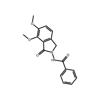 COc1ccc2c(c1OC)C(=O)N(NC(=O)c1ccccc1)C2